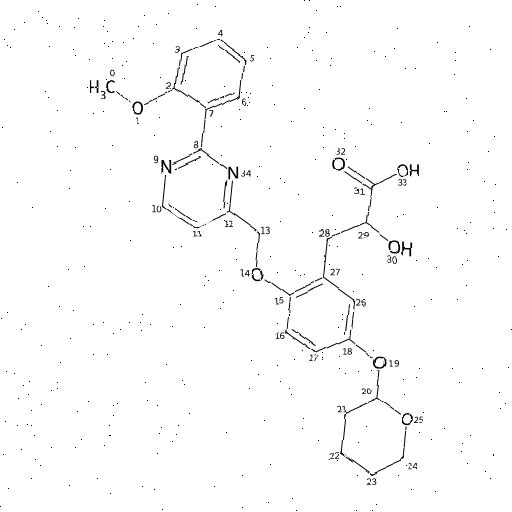 COc1ccccc1-c1nccc(COc2ccc(OC3CCCCO3)cc2CC(O)C(=O)O)n1